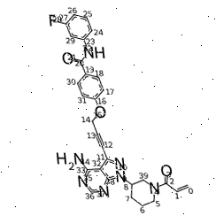 C=CC(=O)N1CCCC(n2nc(C#CCOc3ccc(C(=O)Nc4cccc(F)c4)cc3)c3c(N)ncnc32)C1